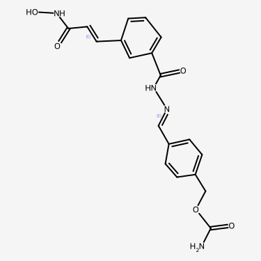 NC(=O)OCc1ccc(/C=N/NC(=O)c2cccc(/C=C/C(=O)NO)c2)cc1